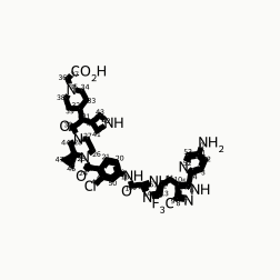 Nc1ccc(-c2[nH]nc(C(F)(F)F)c2Cc2cnc(C(=O)Nc3ccc(C(=O)N4CCN(C(=O)C(C5CCN(CC(=O)O)CC5)C5CNC5)CC45CC5)c(Cl)c3)[nH]2)nc1